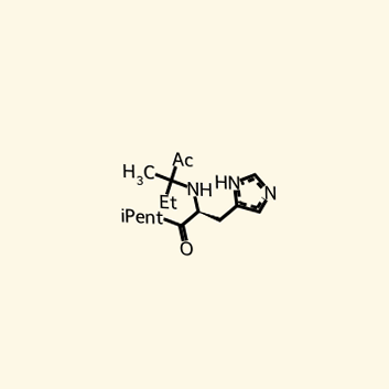 CCCC(C)C(=O)[C@H](Cc1cnc[nH]1)NC(C)(CC)C(C)=O